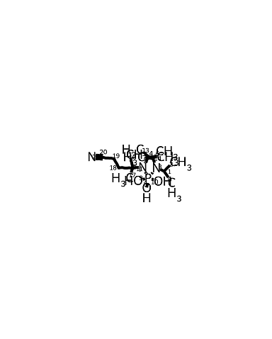 CC(C)N(C(C)C)P(O)(O)(O)N(C(C)C)C(C)(C)CCC#N